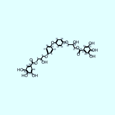 O=C(OCC(O)COc1ccc(Oc2ccc(OCC(O)COC(=O)c3cc(O)c(O)c(O)c3)cc2)cc1)c1cc(O)c(O)c(O)c1